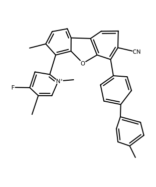 Cc1ccc(-c2ccc(-c3c(C#N)ccc4c3oc3c(-c5cc(F)c(C)c[n+]5C)c(C)ccc34)cc2)cc1